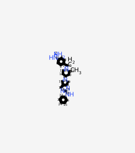 C=C(c1ccc(NN)cc1)N1CC[C@H](N2Cc3cnc(Nc4ccccc4)nc3C2)C[C@H]1C